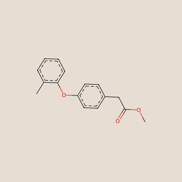 COC(=O)Cc1ccc(Oc2ccccc2C)cc1